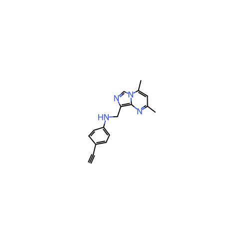 C#Cc1ccc(NCc2ncn3c(C)cc(C)nc23)cc1